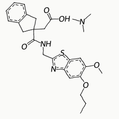 CCCOc1cc2nc(CNC(=O)C3(CC(=O)O)Cc4ccccc4C3)sc2cc1OC.CN(C)C